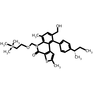 CC[C@H](C)c1ccc(-c2c(CO)cc(C)c3c2c2cc(C)sc2c(=O)n3COCC[Si](C)(C)C)cc1